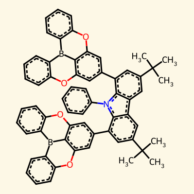 CC(C)(C)c1cc(-c2cc3c4c(c2)Oc2ccccc2B4c2ccccc2O3)c2c(c1)c1cc(C(C)(C)C)cc(-c3cc4c5c(c3)Oc3ccccc3B5c3ccccc3O4)c1n2-c1ccccc1